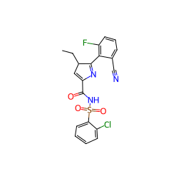 CCC1C=C(C(=O)NS(=O)(=O)c2ccccc2Cl)N=C1c1c(F)cccc1C#N